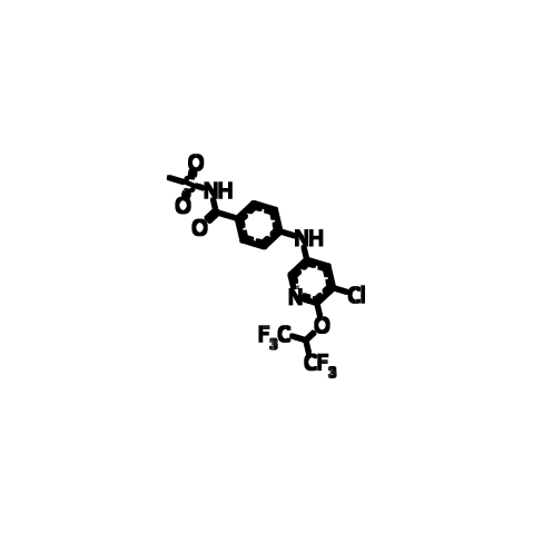 CS(=O)(=O)NC(=O)c1ccc(Nc2cnc(OC(C(F)(F)F)C(F)(F)F)c(Cl)c2)cc1